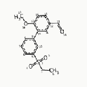 CCS(=O)(=O)c1cccc(-c2cc([C]=O)ccc2OC)c1